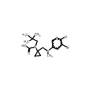 CN(CC1(N(CC(C)(C)C)C(=O)O)CC1)c1cnc(Cl)c(Br)c1